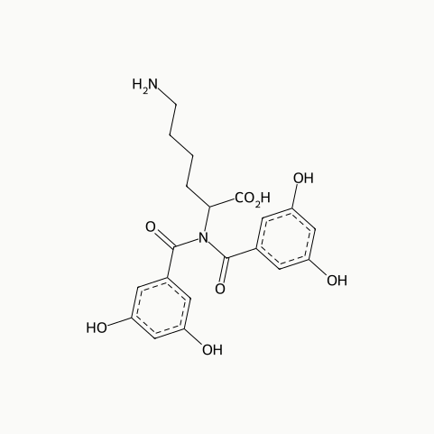 NCCCCC(C(=O)O)N(C(=O)c1cc(O)cc(O)c1)C(=O)c1cc(O)cc(O)c1